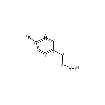 O=C(O)CCc1ccc(F)nc1